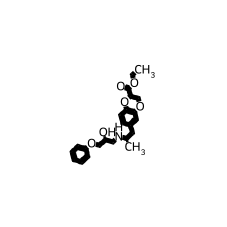 CCOC(=O)C1COc2cc(C[C@@H](C)NC[C@H](O)COc3ccccc3)ccc2O1